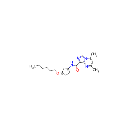 CCCCCCO[C@H]1CC[C@H](NC(=O)c2ncn3c(C)cc(C)nc23)C1